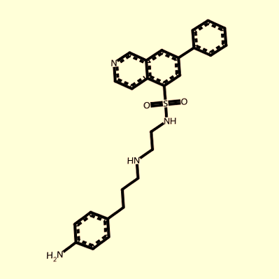 Nc1ccc(CCCNCCNS(=O)(=O)c2cc(-c3ccccc3)cc3cnccc23)cc1